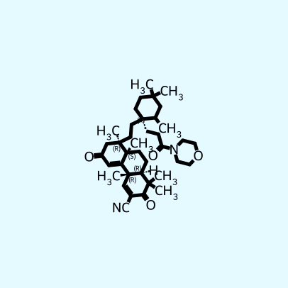 CC1CC(C)(C)CC[C@]1(CCC(=O)N1CCOCC1)CC[C@]1(C)CC(=O)C=C2[C@@]3(C)C=C(C#N)C(=O)C(C)(C)[C@@H]3CC[C@]21C